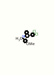 COc1ccc([C@@H](C)N=C2CC[C@H](c3ccc(Cl)c(Cl)c3)c3ccccc32)cc1